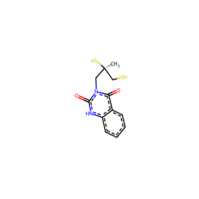 C[C@](S)(CS)Cn1c(=O)[nH]c2ccccc2c1=O